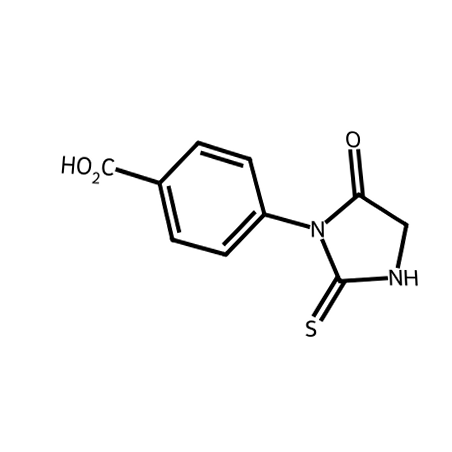 O=C(O)c1ccc(N2C(=O)CNC2=S)cc1